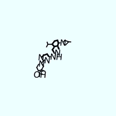 CC1CN(c2ccc(C(C)C)c3cc(Nc4ccnc(N5CCC(O)C(C)(F)C5)n4)ncc23)C1